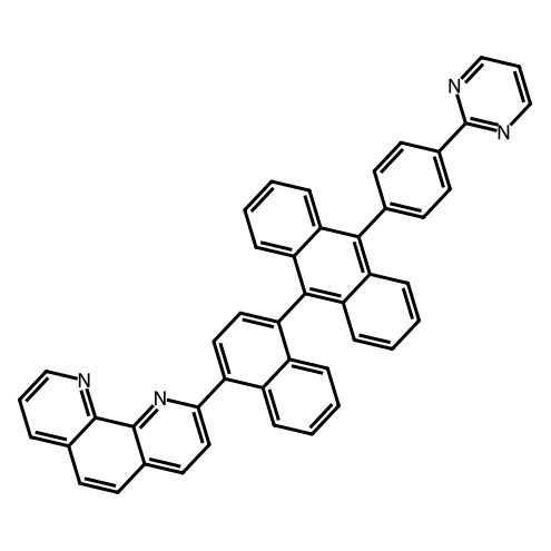 c1cnc(-c2ccc(-c3c4ccccc4c(-c4ccc(-c5ccc6ccc7cccnc7c6n5)c5ccccc45)c4ccccc34)cc2)nc1